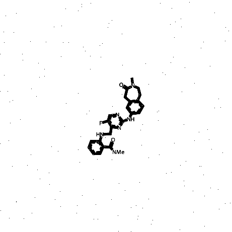 CNC(=O)c1ccccc1NCc1nc(Nc2ccc3c(c2)CC(=O)N(C)CC3)ncc1F